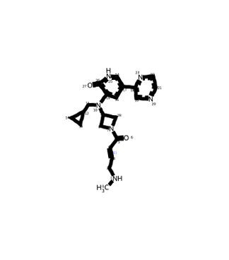 CNC/C=C/C(=O)N1CC(N(CC2CC2)c2cc(-c3cnccn3)c[nH]c2=O)C1